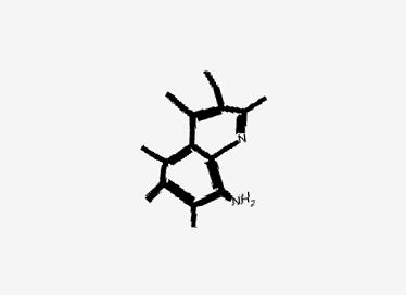 Cc1nc2c(N)c(C)c(C)c(C)c2c(C)c1C